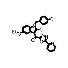 CCOc1ccc2c(c1)c(C(=O)c1nnc(-c3ccccn3)o1)c(Cl)n2Cc1ccc(Cl)cc1